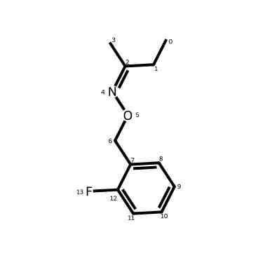 CCC(C)=NOCc1ccccc1F